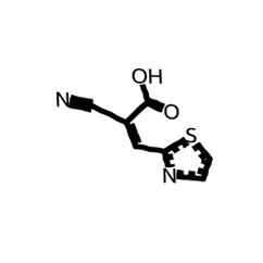 N#CC(=Cc1nccs1)C(=O)O